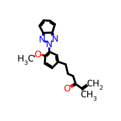 C=C(C)C(=O)CCCc1ccc(OC)c(-n2nc3ccccc3n2)c1